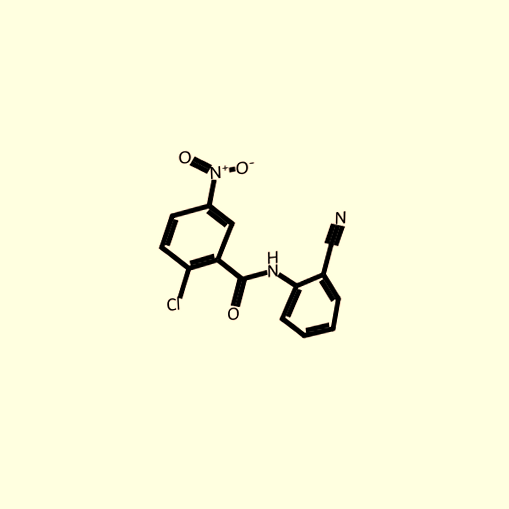 N#Cc1ccccc1NC(=O)c1cc([N+](=O)[O-])ccc1Cl